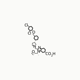 C[C@H]([C@@H]1CCO1)n1c(CN2CC[C@H](c3cccc(COc4ccc(Cl)cc4Cl)c3)C2)nc2ccc(C(=O)O)cc21